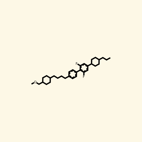 CCCC1CCC(c2cc(F)c(-c3ccc(CCCCC4CCC(COC)CC4)cc3)c(F)c2)CC1